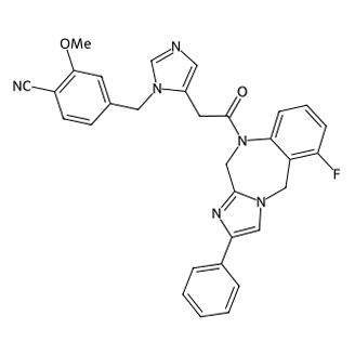 COc1cc(Cn2cncc2CC(=O)N2Cc3nc(-c4ccccc4)cn3Cc3c(F)cccc32)ccc1C#N